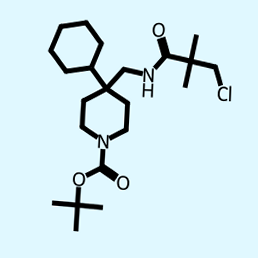 CC(C)(C)OC(=O)N1CCC(CNC(=O)C(C)(C)CCl)(C2CCCCC2)CC1